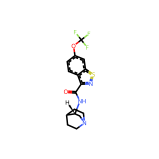 O=C(N[C@@H]1CN2CCC1CC2)c1nsc2cc(OC(F)(F)F)ccc12